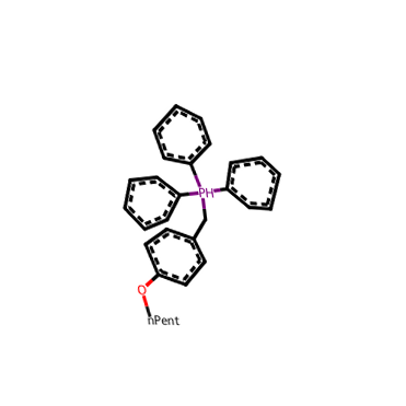 CCCCCOc1ccc(C[PH](c2ccccc2)(c2ccccc2)c2ccccc2)cc1